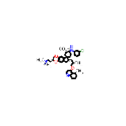 C[C@@H](COc1ccnc2c1[C@H](C)CCC2)C[C@H]1Cc2cc3c(cc2C12CCC(Nc1cccc(Cl)c1)(C(=O)O)CC2)OC[C@@H](CCN(C)C)O3